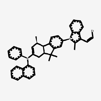 CC/C=C\c1c(C)n(-c2ccc3c(c2)C(C)(C)C2CC(N(c4ccccc4)c4cccc5ccccc45)=C[C@@H](C)C32)c2ccccc12